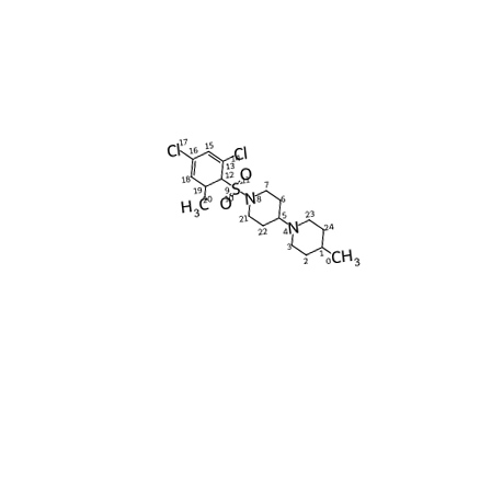 CC1CCN(C2CCN(S(=O)(=O)C3C(Cl)=CC(Cl)=CC3C)CC2)CC1